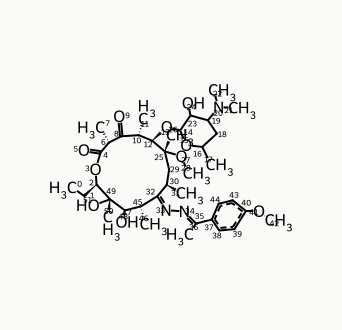 CC[C@H]1OC(=O)[C@H](C)C(=O)[C@H](C)[C@@H](OC2OC(C)CC(N(C)C)C2O)[C@](C)(OC)C[C@@H](C)/C(=N\N=C(/C)c2ccc(OC)cc2)[C@H](C)[C@@H](O)[C@]1(C)O